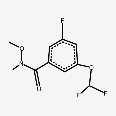 CON(C)C(=O)c1cc(F)cc(OC(F)F)c1